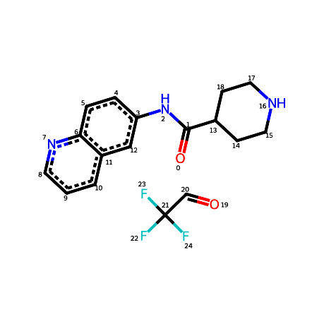 O=C(Nc1ccc2ncccc2c1)C1CCNCC1.O=CC(F)(F)F